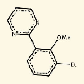 CCc1cccc(-c2ncccn2)c1OC